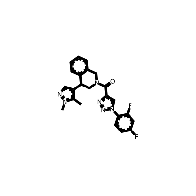 Cc1c(C2CN(C(=O)c3cn(-c4ccc(F)cc4F)nn3)Cc3ccccc32)cnn1C